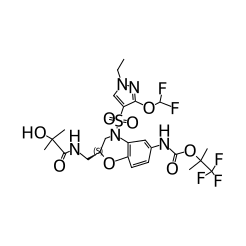 CCn1cc(S(=O)(=O)N2C[C@H](CNC(=O)C(C)(C)O)Oc3ccc(NC(=O)OC(C)(C)C(F)(F)F)cc32)c(OC(F)F)n1